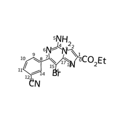 CCOC(=O)c1cn2c(N)nc(-c3cccc(C#N)c3)c(Br)c2n1